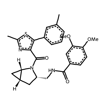 COc1ccc(C(=O)NC[C@@H]2C[C@@H]3C[C@@H]3N2C(=O)c2nc(C)sc2-c2cccc(C)c2)cc1OC